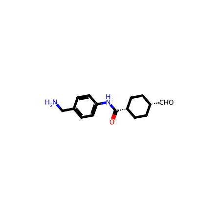 NCc1ccc(NC(=O)[C@H]2CC[C@@H](C=O)CC2)cc1